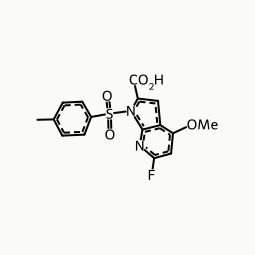 COc1cc(F)nc2c1cc(C(=O)O)n2S(=O)(=O)c1ccc(C)cc1